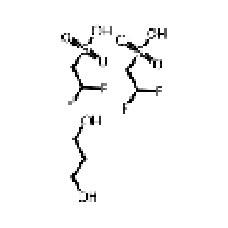 O=S(=O)(O)CC(F)F.O=S(=O)(O)CC(F)F.OCCCO